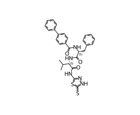 CC(C)[C@H](NC(=O)[C@H](Cc1ccccc1)NC(=O)c1ccc(-c2ccccc2)cc1)C(=O)Nc1n[nH]c(=S)s1